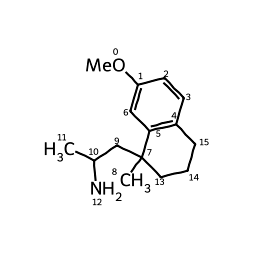 COc1ccc2c(c1)C(C)(CC(C)N)CCC2